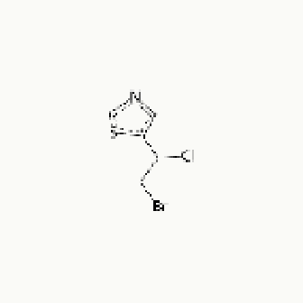 ClC(CBr)c1cncs1